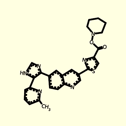 Cc1cccc(-c2[nH]cnc2-c2ccc3ncc(-c4nc(C(=O)ON5CCCCC5)cs4)cc3c2)n1